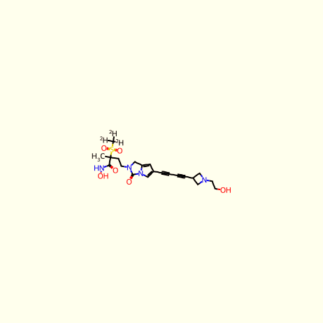 [2H]C([2H])([2H])S(=O)(=O)C(C)(CCN1Cc2cc(C#CC#CC3CN(CCO)C3)cn2C1=O)C(=O)NO